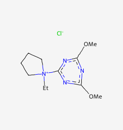 CC[N+]1(c2nc(OC)nc(OC)n2)CCCC1.[Cl-]